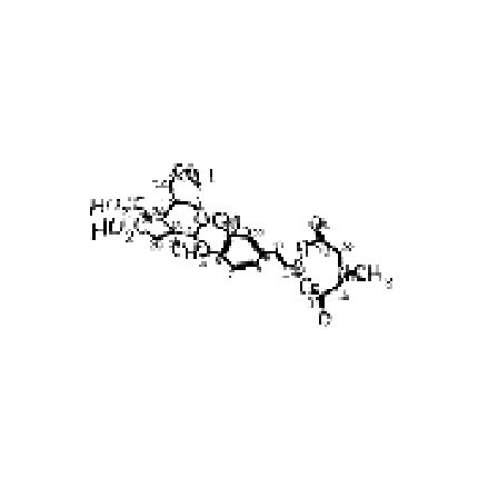 CC(=O)OC[C@@H]1O[C@H](Oc2ccc(/C=C/B3OC(=O)CN(C)CC(=O)O3)cc2C)[C@@](C)(CC(=O)O)[C@@H](CC(=O)O)[C@H]1CC(=O)O